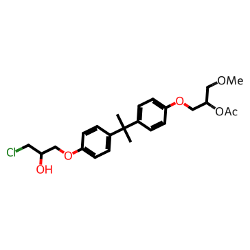 COCC(COc1ccc(C(C)(C)c2ccc(OCC(O)CCl)cc2)cc1)OC(C)=O